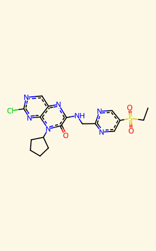 CCS(=O)(=O)c1cnc(CNc2nc3cnc(Cl)nc3n(C3CCCC3)c2=O)nc1